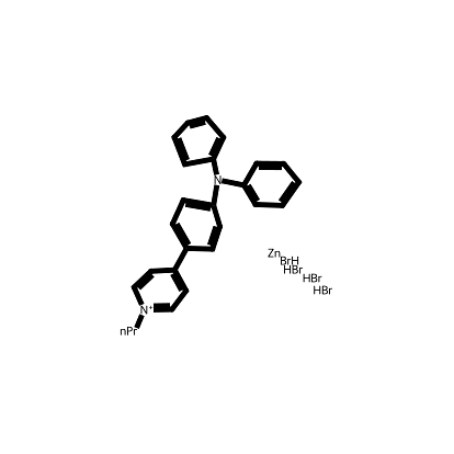 Br.Br.Br.Br.CCC[n+]1ccc(-c2ccc(N(c3ccccc3)c3ccccc3)cc2)cc1.[Zn]